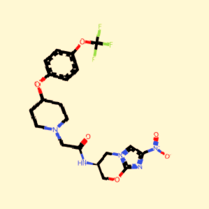 O=C(CN1CCC(Oc2ccc(OC(F)(F)F)cc2)CC1)N[C@@H]1COc2nc([N+](=O)[O-])cn2C1